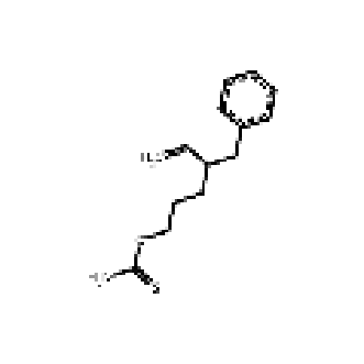 C=CC(CCCOC(N)=S)Cc1ccccc1